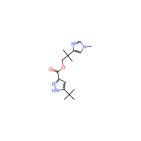 Cn1cnc(C(C)(C)COC(=O)c2cc(C(C)(C)C)[nH]n2)c1